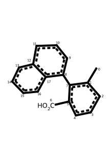 Cc1cccc(C(=O)O)c1-c1cccc2ccccc12